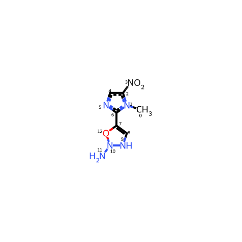 Cn1c([N+](=O)[O-])cnc1C1=CNN(N)O1